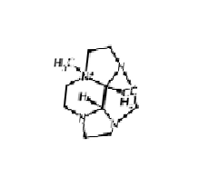 C[C@@]12[C@@H]3N4CCN3CC[N+]1(C)CCN2CC4